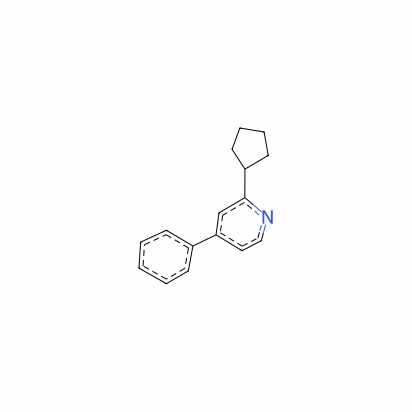 c1ccc(-c2ccnc(C3CCCC3)c2)cc1